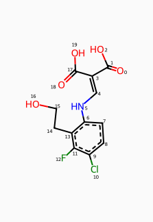 O=C(O)C(=CNc1ccc(Cl)c(F)c1CCO)C(=O)O